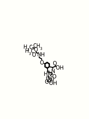 CC(C)(C)OC(=O)NCCOc1ccc2c(c1)[C@H]1CN(C(=O)N1OS(=O)(=O)O)C2C(=O)O